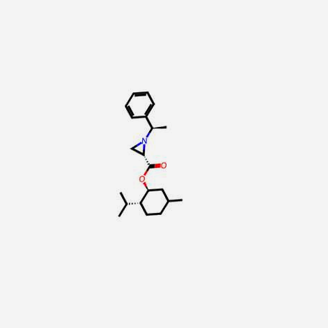 CC1CC[C@H](C(C)C)[C@@H](OC(=O)[C@@H]2CN2[C@H](C)c2ccccc2)C1